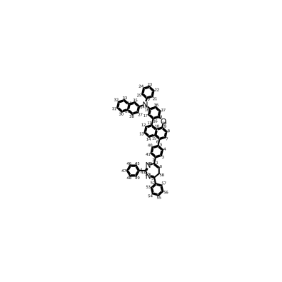 C1=C(c2ccc(-c3ccc4c5c(cccc35)-c3cc(N(c5ccccc5)c5ccc6ccccc6c5)ccc3O4)cc2)N=C(c2ccccc2)N=C(c2ccccc2)C1